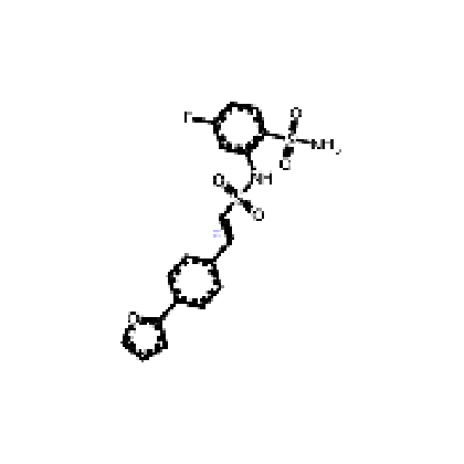 NS(=O)(=O)c1ccc(F)cc1NS(=O)(=O)/C=C/c1ccc(-c2ccco2)cc1